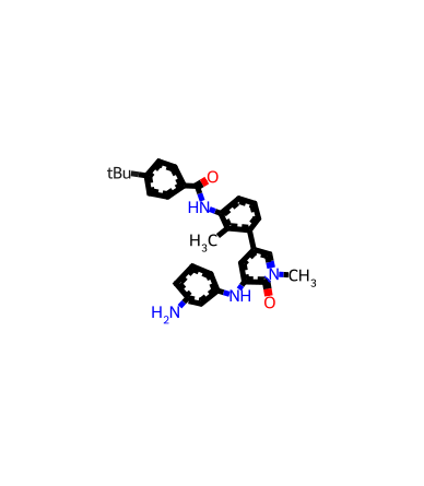 Cc1c(NC(=O)c2ccc(C(C)(C)C)cc2)cccc1-c1cc(Nc2cccc(N)c2)c(=O)n(C)c1